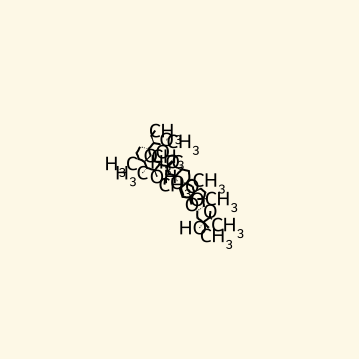 CC[C@@H](C(=O)[C@@H](C)[C@@H](O)[C@H](C)[C@@H]1O[C@@H]([C@@H](CC)C(=O)OC)CC[C@@H]1C)[C@H]1O[C@]2(C=CC(=O)[C@]3(CC[C@@](C)([C@H]4CC[C@](O)(CC)[C@H](C)O4)O3)O2)[C@H](C)C[C@@H]1C